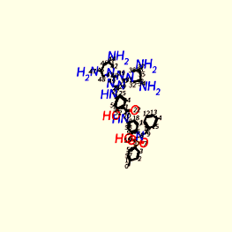 Cc1ccc(S(=O)(=O)N(Cc2ccccc2)c2ccc(NC(=O)c3ccc(Nc4nc(N5C[C@H](N)C[C@H](N)C5)nc(N5C[C@H](N)C[C@H](N)C5)n4)cc3O)cc2O)cc1